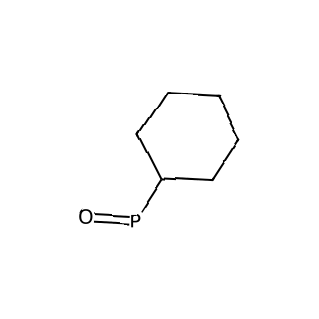 O=PC1CCCCC1